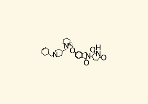 O=C1CCC(N2Cc3cc(OC[C@@H]4CCCCN4CC4CCN(CC5CC=CCC5)CC4)ccc3C2=O)C(=O)N1